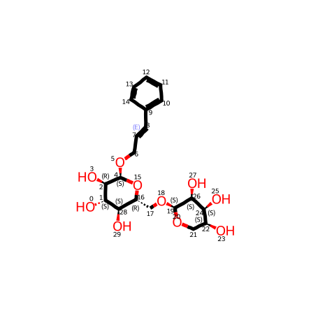 O[C@@H]1[C@@H](O)[C@@H](OC/C=C/c2ccccc2)O[C@H](CO[C@@H]2OC[C@H](O)[C@H](O)[C@@H]2O)[C@H]1O